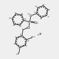 O=P(OCc1ccc(F)cc1F)(Oc1ccccc1)c1ccccc1.[Ir]